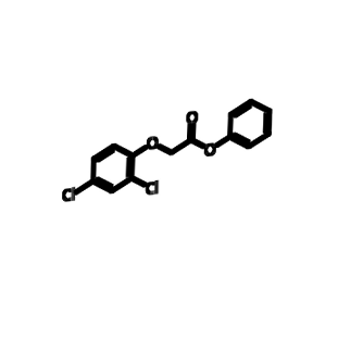 O=C(COc1ccc(Cl)cc1Cl)Oc1ccccc1